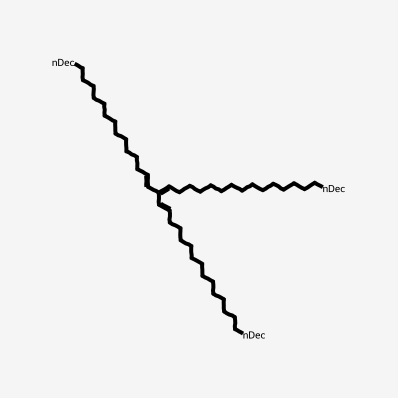 CCCCCCCCCCCCCCCCCCCCCCC=CC(C=CCCCCCCCCCCCCCCCCCCCCCCC)=CCCCCCCCCCCCCCCCCCCCCCCCC